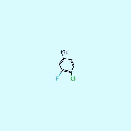 CC(C)(C)c1ccc(Cl)c(F)c1